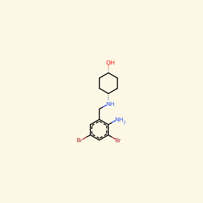 Nc1c(Br)cc(Br)cc1CN[C@H]1CC[C@@H](O)CC1